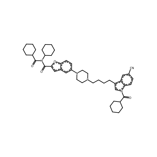 N#Cc1ccc2c(c1)c(CCCCN1CCN(c3ccc4oc(C(=O)N(C(=O)C5CCCCC5)C5CCCCC5)cc4c3)CC1)cn2C(=O)C1CCCCC1